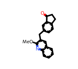 COc1nc2ccccc2cc1Cc1ccc2c(c1)C(=O)CC2